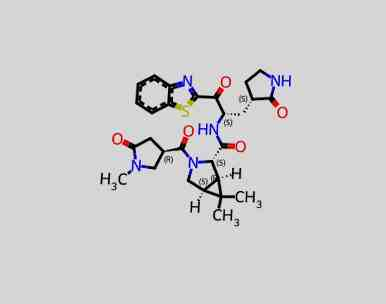 CN1C[C@H](C(=O)N2C[C@H]3[C@@H]([C@H]2C(=O)N[C@@H](C[C@@H]2CCNC2=O)C(=O)c2nc4ccccc4s2)C3(C)C)CC1=O